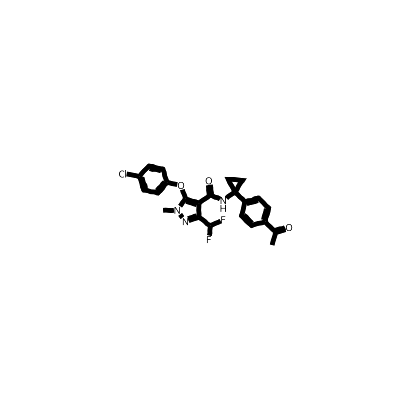 CC(=O)c1ccc(C2(NC(=O)c3c(C(F)F)nn(C)c3Oc3ccc(Cl)cc3)CC2)cc1